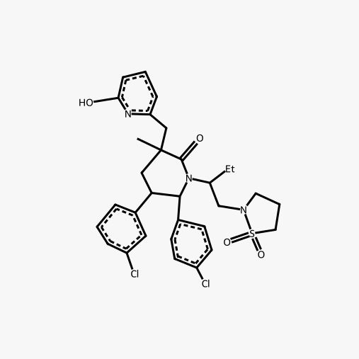 CCC(CN1CCCS1(=O)=O)N1C(=O)C(C)(Cc2cccc(O)n2)CC(c2cccc(Cl)c2)C1c1ccc(Cl)cc1